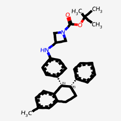 Cc1ccc2c(c1)CC[C@@H](c1ccccc1)[C@H]2c1ccc(NC2CN(C(=O)OC(C)(C)C)C2)cc1